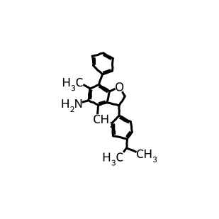 Cc1c(N)c(C)c2c(c1-c1ccccc1)OCC2c1ccc(C(C)C)cc1